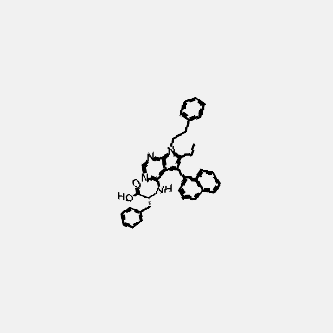 CCc1c(-c2cccc3ccccc23)c2c(N[C@H](Cc3ccccc3)C(=O)O)ncnc2n1CCc1ccccc1